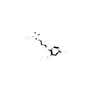 CC(C)(C)[Si](C)(C)OCCCOc1ccc(Cl)cc1[N+](=O)[O-]